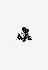 O=C(N[C@H]1CCOc2ccccc21)c1sc2c(-c3cc(F)cc(F)c3)nccc2c1N1CCOCC1